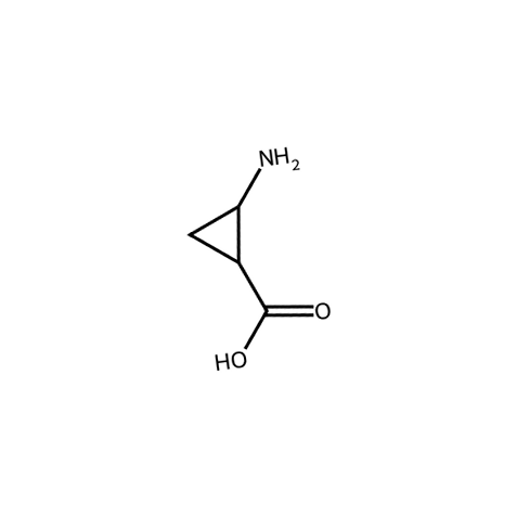 NC1CC1C(=O)O